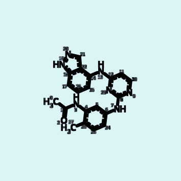 CC(=O)Nc1cc(Nc2nccc(Nc3cccc4[nH]ncc34)n2)ccc1C